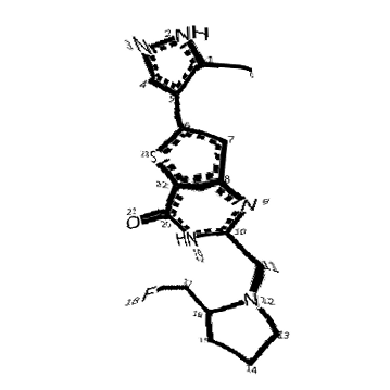 Cc1[nH]ncc1-c1cc2nc(CN3CCCC3CF)[nH]c(=O)c2s1